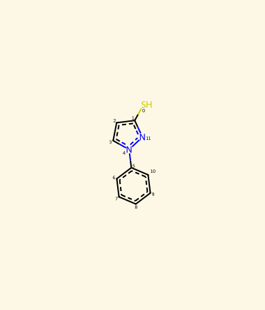 Sc1ccn(-c2ccccc2)n1